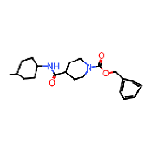 CC1CCC(NC(=O)C2CCN(C(=O)OCc3ccccc3)CC2)CC1